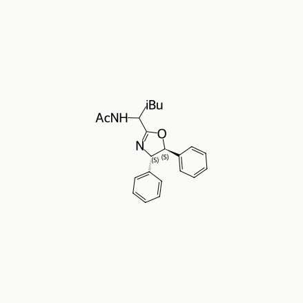 CCC(C)C(NC(C)=O)C1=N[C@@H](c2ccccc2)[C@H](c2ccccc2)O1